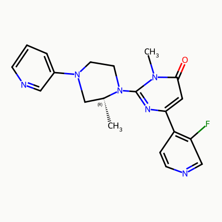 C[C@@H]1CN(c2cccnc2)CCN1c1nc(-c2ccncc2F)cc(=O)n1C